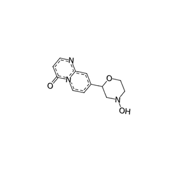 O=c1ccnc2cc(C3CN(O)CCO3)ccn12